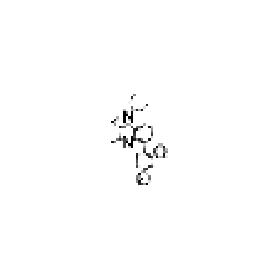 CCC(CC)n1ccc2c(C)nc3c(-c4ccc(OC)cc4OC)cccc3c21